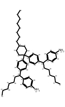 CCCCCCCCC1CCC(c2ccc(C(CCCCCC)c3ccc(N)cc3)cc2)(c2ccc(C(CCCCCC)c3ccc(N)cc3)cc2)CC1